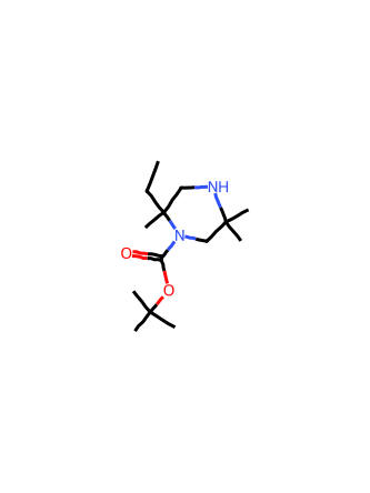 CCC1(C)CNC(C)(C)CN1C(=O)OC(C)(C)C